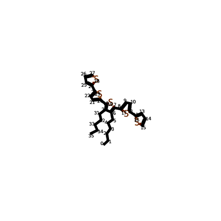 CCCCCCc1c(-c2ccc(-c3cccs3)s2)sc(-c2ccc(-c3cccs3)s2)c1CCCCC